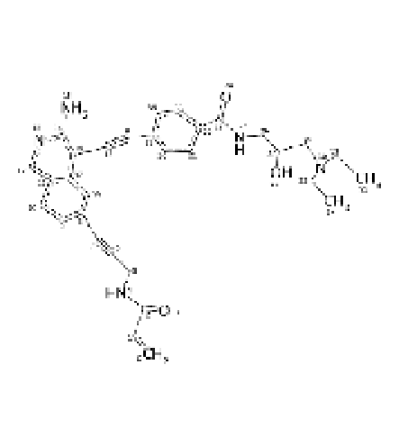 C=CC(=O)NCC#Cc1ccc2cnc(N)c(C#Cc3ccc(C(=O)NCC(O)CN(CC)CC)cc3)c2c1